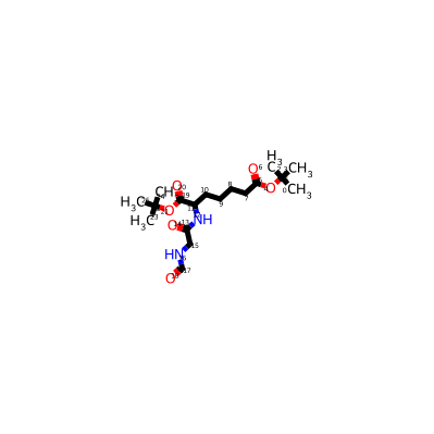 CC(C)(C)OC(=O)CCCCC(NC(=O)CN[C]=O)C(=O)OC(C)(C)C